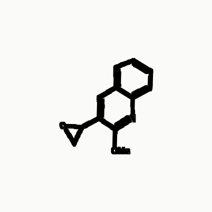 COc1nc2ccccc2cc1C1CO1